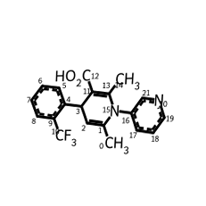 CC1=CC(c2ccccc2C(F)(F)F)C(C(=O)O)=C(C)N1c1cccnc1